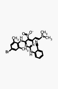 Cc1cc(Br)cc(C)c1Nc1nc(Nc2ccccc2C#N)nc(/C=C/N(C)C)c1[N+](=O)[O-]